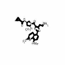 COc1ccc(-c2nc(C(=O)N3C[C@H](NC(=O)C4CC4)C[C@H]3C(=O)O)c(CCN)o2)c2ccc(C(F)(F)F)nc12